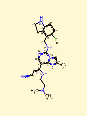 CN(C)CCN/C(=C\C=N)c1cnc(NCc2c(F)ccc3c2CCN3)n2cc(C#N)nc12